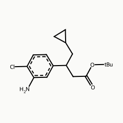 CC(C)(C)OC(=O)CC(CC1CC1)c1ccc(Cl)c(N)c1